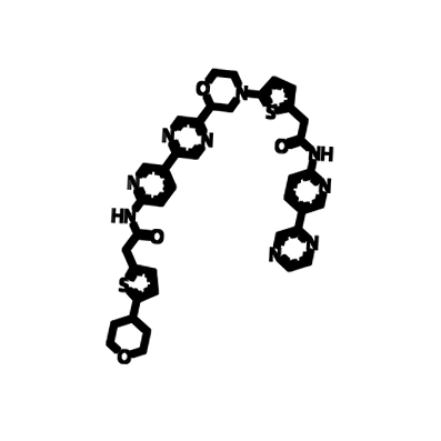 O=C(Cc1ccc(C2CCOCC2)s1)Nc1ccc(-c2cnc(C3CN(c4ccc(CC(=O)Nc5ccc(-c6cnccn6)cn5)s4)CCO3)cn2)cn1